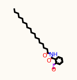 CCCCCCCCCCCCCCCCCC(=O)NC(=O)c1ccccc1I=O